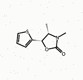 C[C@H]1[C@@H](c2cccs2)OC(=O)N1C